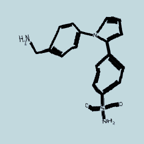 NCc1ccc(-n2cccc2-c2ccc(S(N)(=O)=O)cc2)cc1